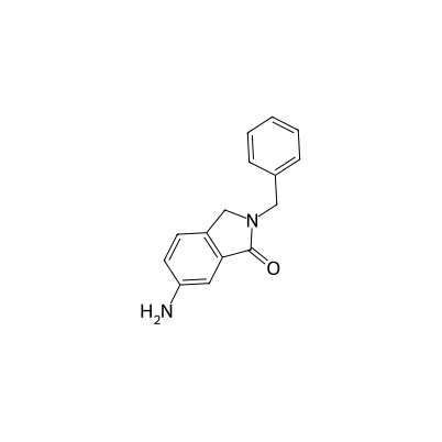 Nc1ccc2c(c1)C(=O)N(Cc1ccccc1)C2